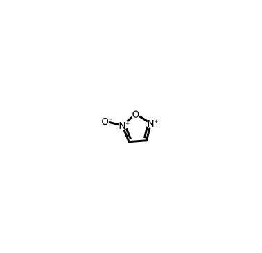 [O-][N+]1=CC=[N+]O1